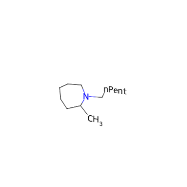 CCCCCCN1CCCCCC1C